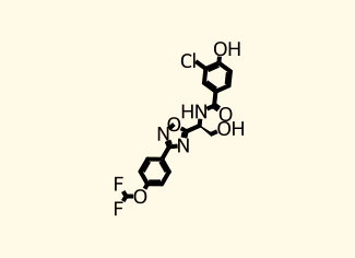 O=C(N[C@@H](CO)c1nc(-c2ccc(OC(F)F)cc2)no1)c1ccc(O)c(Cl)c1